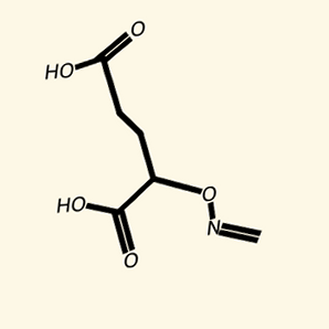 C=NOC(CCC(=O)O)C(=O)O